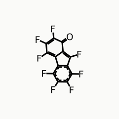 O=C1C(F)=C(F)C(F)=C2C1=C(F)c1c(F)c(F)c(F)c(F)c12